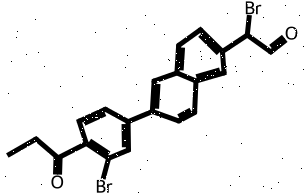 CCC(=O)c1ccc(-c2ccc3cc(C(Br)C=O)ccc3c2)cc1Br